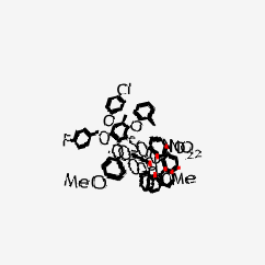 COc1ccc(OC(Oc2ccccc2Cl)(Sc2c([O])c(OCc3ccc(F)cc3)c(Oc3ccc(Cl)cc3)c(C)c2Oc2ccccc2C)C(Oc2ccc([N+](=O)[O-])cc2)(Oc2cccc(OC)c2)C(Oc2cccc(C)c2)Oc2ccccc2[N+](=O)[O-])cc1